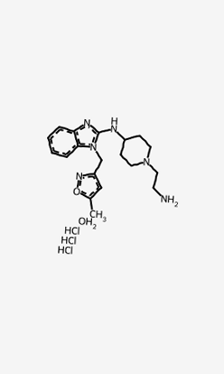 Cc1cc(Cn2c(NC3CCN(CCN)CC3)nc3ccccc32)no1.Cl.Cl.Cl.O